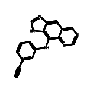 C#Cc1cccc(Nc2c3ncncc3cc3nc[nH]c23)c1